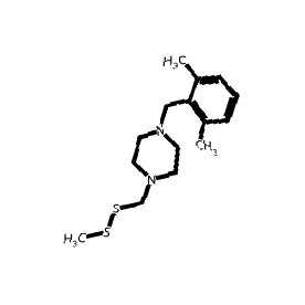 CSSCN1CCN(Cc2c(C)cccc2C)CC1